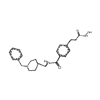 O=C(CCc1ccc(C(=O)NCC2CCN(Cc3ccccc3)CC2)cc1)NO